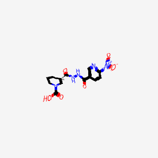 O=C(NNC(=O)[C@H]1CCCN(C(=O)O)C1)c1ccc([N+](=O)[O-])nc1